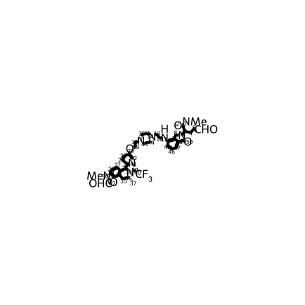 CNC(=O)C(CCC=O)N1Cc2c(NCCN3CCN(CCOc4ccc(C5c6ccc(NC)c(OC=O)c6C[C@@H](C)N5CC(F)(F)F)nc4)CC3)cccc2C1=O